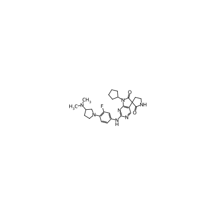 CN(C)C1CCN(c2ccc(Nc3ncc4c(n3)N(C3CCCC3)C(=O)C43CCNC3=O)cc2F)C1